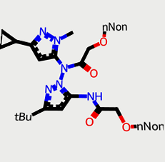 CCCCCCCCCOCC(=O)Nc1cc(C(C)(C)C)nn1N(C(=O)COCCCCCCCCC)c1cc(C2CC2)nn1C